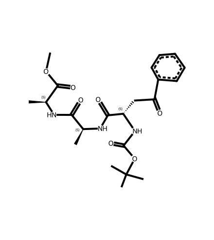 COC(=O)[C@H](C)NC(=O)[C@H](C)NC(=O)[C@H](CC(=O)c1ccccc1)NC(=O)OC(C)(C)C